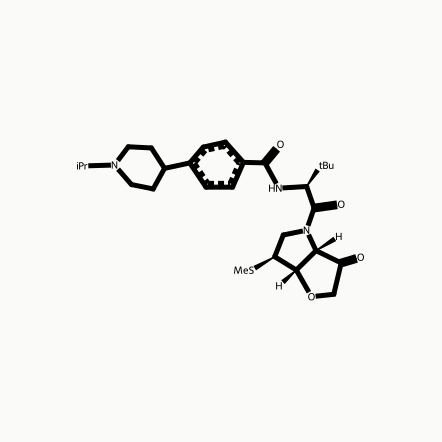 CS[C@H]1CN(C(=O)[C@@H](NC(=O)c2ccc(C3CCN(C(C)C)CC3)cc2)C(C)(C)C)[C@@H]2C(=O)CO[C@H]12